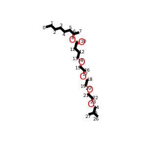 CCCCCCC(C)OC(=O)CCCOCCOCCOCCOCC(C)C